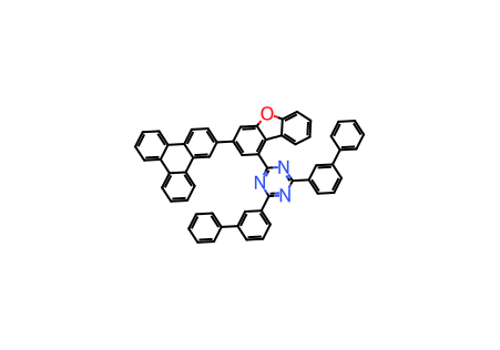 c1ccc(-c2cccc(-c3nc(-c4cccc(-c5ccccc5)c4)nc(-c4cc(-c5ccc6c7ccccc7c7ccccc7c6c5)cc5oc6ccccc6c45)n3)c2)cc1